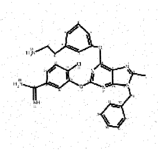 Cc1nc2c(Oc3cccc(CCN)c3)nc(Oc3cc(C(=N)N)ccc3Cl)nc2n1Cc1ccccc1